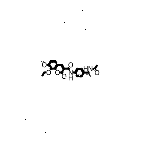 CCOc1c(OC)ccc2cc(C(=O)Nc3ccc([C@H](C)NC(C)=O)cc3)c(=O)oc12